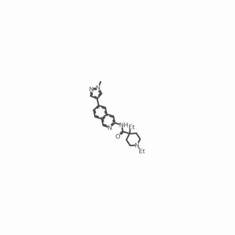 CCN1CCC(CC)(C(=O)Nc2cc3cc(-c4cnn(C)c4)ccc3cn2)CC1